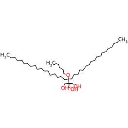 CCCCCCCCCCCCCCCCCCC(CCCCCCCCCCCCCCCCCC)(OCCCCC)C(CO)(CO)CO